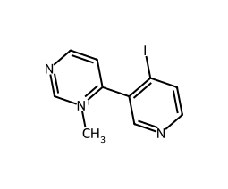 C[n+]1cnccc1-c1cnccc1I